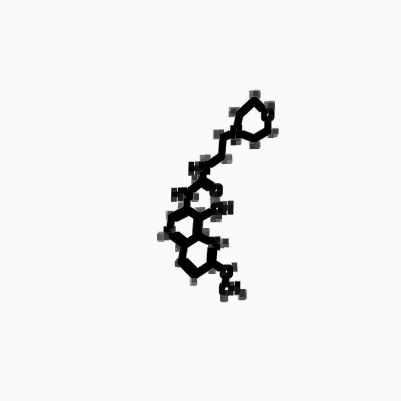 COc1ccc2ncc(NC(=O)NCCN3CCOCC3)c(O)c2n1